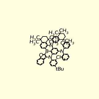 Cc1cc(C(C)(C)C)ccc1N1c2cc(N(c3ccccc3)c3ccccc3)cc3c2B(c2ccc4c(c2N3c2ccc3c(c2)C(C)(C)CCC3(C)C)C(C)(C)CCC4(C)C)c2oc3ccccc3c21